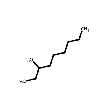 CCCC[CH]CC(O)CO